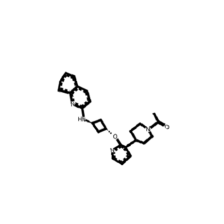 CC(=O)N1CCC(c2cccnc2O[C@H]2C[C@H](Nc3ccc4ccccc4n3)C2)CC1